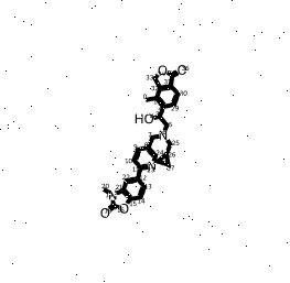 Cc1c(C(O)CN(Cc2ccc(-c3ccc4oc(=O)n(C)c4c3)nc2)CC2CC2)ccc2c1COC2=O